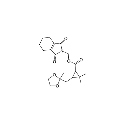 CC1(CC2C(C(=O)OCN3C(=O)C4=C(CCCC4)C3=O)C2(C)C)OCCO1